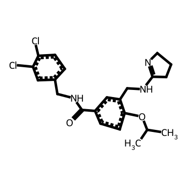 CC(C)Oc1ccc(C(=O)NCc2ccc(Cl)c(Cl)c2)cc1CNC1=NCCC1